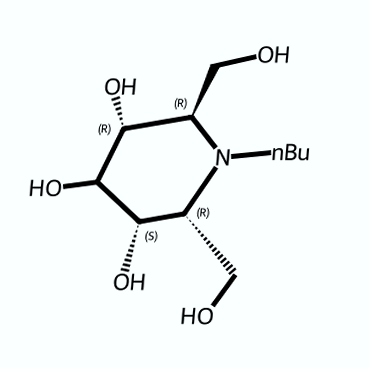 CCCCN1[C@H](CO)[C@H](O)C(O)[C@H](O)[C@H]1CO